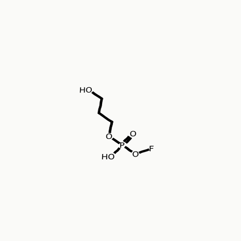 O=P(O)(OF)OCCCO